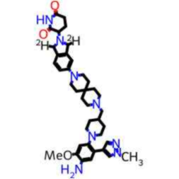 [2H]C1c2ccc(N3CCC4(CCN(CC5CCN(c6cc(OC)c(N)cc6-c6cnn(C)c6)CC5)CC4)CC3)cc2C([2H])N1C1CCC(=O)NC1=O